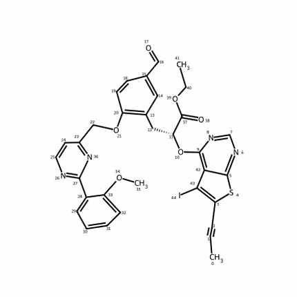 CC#Cc1sc2ncnc(O[C@H](Cc3cc(C=O)ccc3OCc3ccnc(-c4ccccc4OC)n3)C(=O)OCC)c2c1I